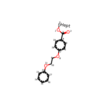 CCCCCCCOC(=O)c1ccc(OCCOc2ccccc2)cc1